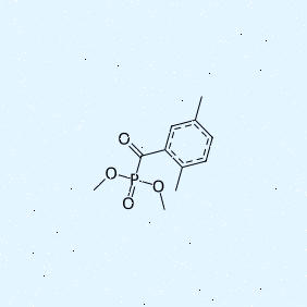 COP(=O)(OC)C(=O)c1cc(C)ccc1C